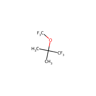 CC(C)(OC(F)(F)F)C(F)(F)F